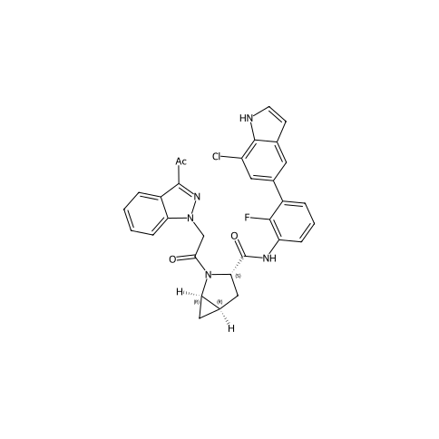 CC(=O)c1nn(CC(=O)N2[C@@H]3C[C@@H]3C[C@H]2C(=O)Nc2cccc(-c3cc(Cl)c4[nH]ccc4c3)c2F)c2ccccc12